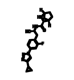 N#C[C@H](Cc1ccc(-n2cc(C3CC3)nn2)cc1F)NC(=O)[C@H]1N[C@@H]2CC[C@H]1C2